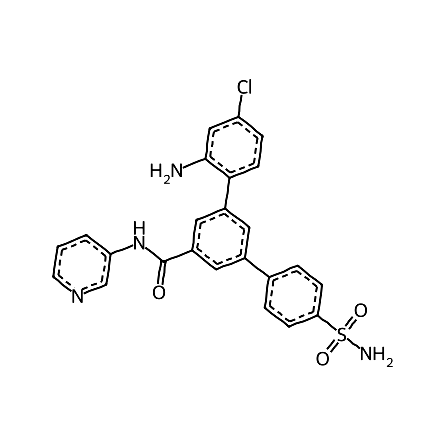 Nc1cc(Cl)ccc1-c1cc(C(=O)Nc2cccnc2)cc(-c2ccc(S(N)(=O)=O)cc2)c1